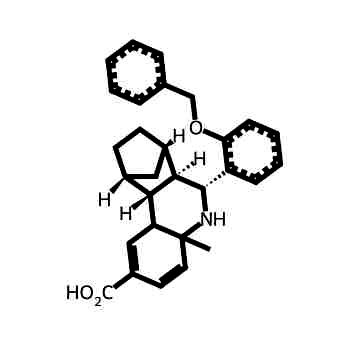 CC12C=CC(C(=O)O)=CC1[C@@H]1[C@@H]3CC[C@@H](C3)[C@H]1[C@H](c1ccccc1OCc1ccccc1)N2